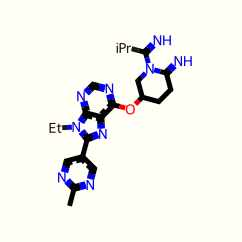 CCn1c(-c2cnc(C)nc2)nc2c(OC3CCC(=N)N(C(=N)C(C)C)C3)ncnc21